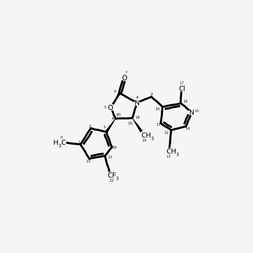 Cc1cc([C@H]2OC(=O)N(Cc3cc(C)cnc3Cl)[C@H]2C)cc(C(F)(F)F)c1